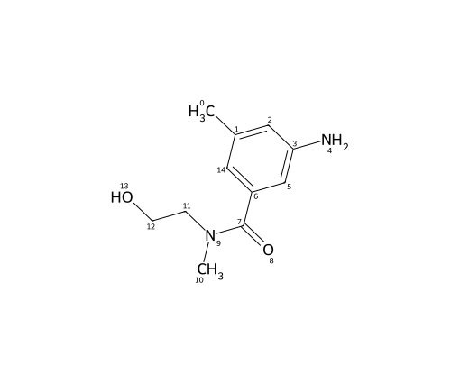 Cc1cc(N)cc(C(=O)N(C)CCO)c1